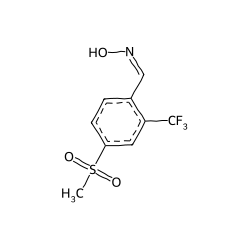 CS(=O)(=O)c1ccc(/C=N\O)c(C(F)(F)F)c1